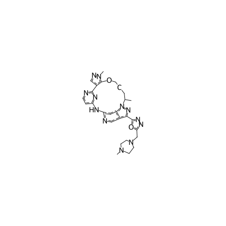 CC1CCCOc2c(cnn2C)-c2nccc(n2)Nc2cc3c(cn2)c(-c2nnc(CN4CCN(C)CC4)o2)nn31